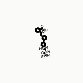 CCNC(=O)Nc1nc2cc(-c3cccc(Cc4n[nH]c(=O)c5ccccc45)c3)ccc2[nH]1